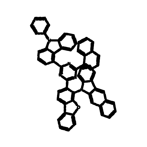 c1ccc(-n2c3ccccc3c3c(-c4nc(-c5ccc6c(oc7ccccc76)c5-n5c6ccccc6c6cc7ccccc7cc65)nc(-c5cccc6ccccc56)n4)cccc32)cc1